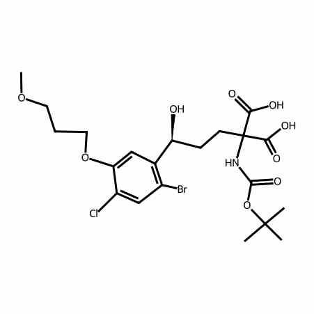 COCCCOc1cc([C@@H](O)CCC(NC(=O)OC(C)(C)C)(C(=O)O)C(=O)O)c(Br)cc1Cl